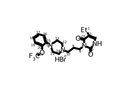 Br.CCc1c[nH]c(=O)n(CCCN2CCN(c3ccccc3OC(F)(F)F)CC2)c1=O